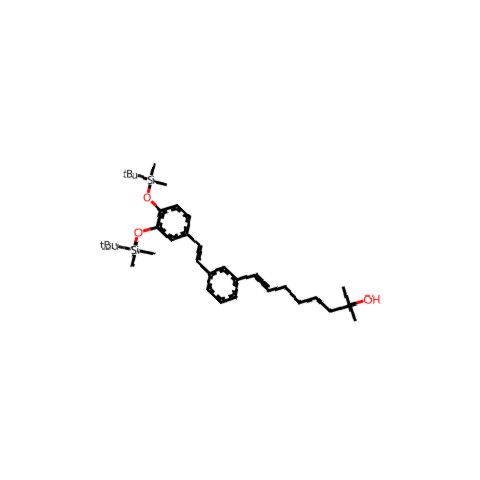 CC(C)(O)CCCCC=Cc1cccc(C=Cc2ccc(O[Si](C)(C)C(C)(C)C)c(O[Si](C)(C)C(C)(C)C)c2)c1